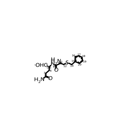 NC(=O)CC[C@@H]([C]=O)NC(=O)[C@@H](N)CSCc1ccccc1